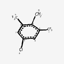 [CH2]c1c(C(F)(F)F)cc(Cl)cc1C(F)(F)F